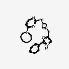 c1ccc(-c2nc(CN3CC(Nc4nccc(N5CCCCCC5)n4)C3)c[nH]2)cc1